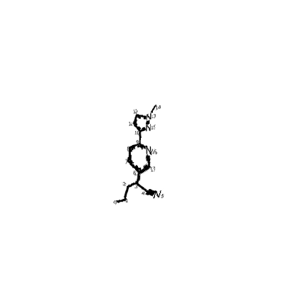 CCCC(C#N)c1ccc(-c2ccn(C)n2)nc1